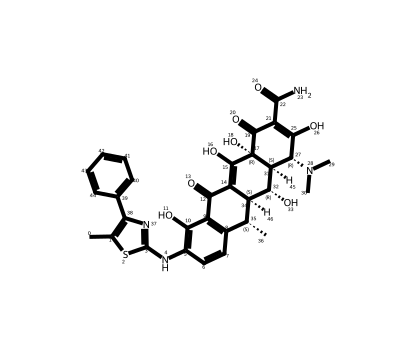 Cc1sc(Nc2ccc3c(c2O)C(=O)C2=C(O)[C@@]4(O)C(=O)C(C(N)=O)=C(O)[C@H](N(C)C)[C@H]4[C@H](O)[C@H]2[C@@H]3C)nc1-c1ccccc1